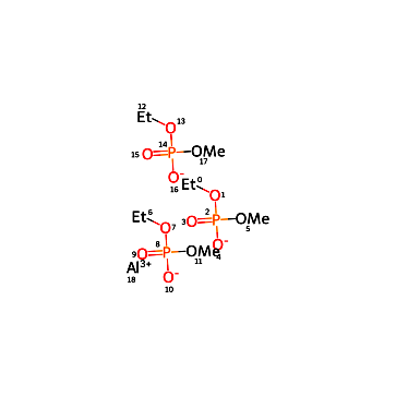 CCOP(=O)([O-])OC.CCOP(=O)([O-])OC.CCOP(=O)([O-])OC.[Al+3]